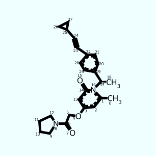 Cc1cc(OCC(=O)N2CCCC2)cc(=O)n1[C@H](C)c1ccc(C#CC2CC2)cc1